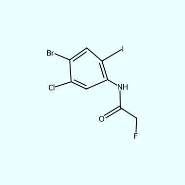 O=C(CF)Nc1cc(Cl)c(Br)cc1I